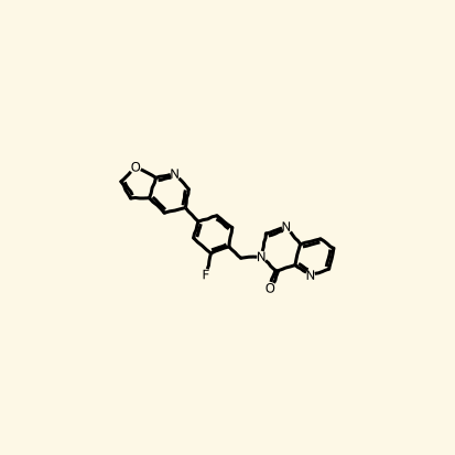 O=c1c2ncccc2ncn1Cc1ccc(-c2cnc3occc3c2)cc1F